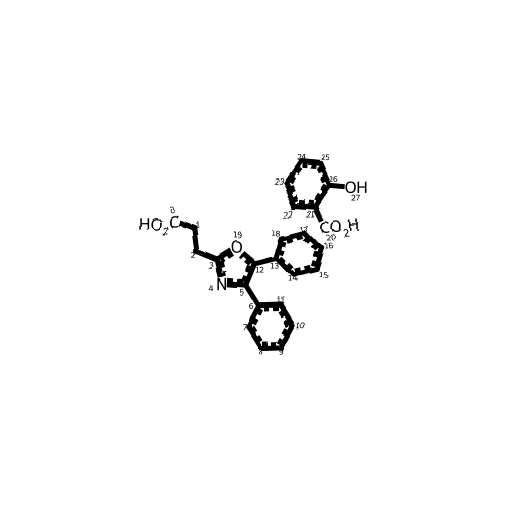 O=C(O)CCc1nc(-c2ccccc2)c(-c2ccccc2)o1.O=C(O)c1ccccc1O